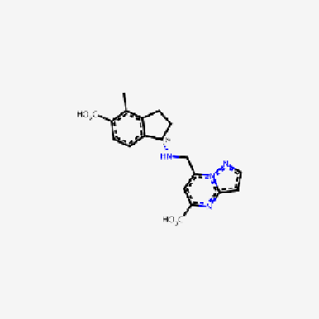 Cc1c(C(=O)O)ccc2c1CC[C@@H]2NCc1cc(C(=O)O)nc2ccnn12